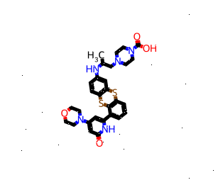 CC(CN1CCN(C(=O)O)CC1)Nc1ccc2c(c1)Sc1cccc(-c3cc(N4CCOCC4)cc(=O)[nH]3)c1S2